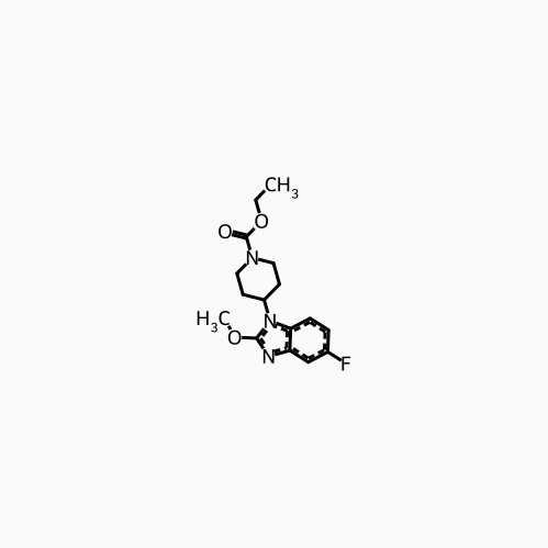 CCOC(=O)N1CCC(n2c(OC)nc3cc(F)ccc32)CC1